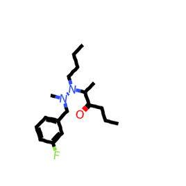 CCCCN(C(C)C(=O)CCC)N(C)Cc1cccc(F)c1